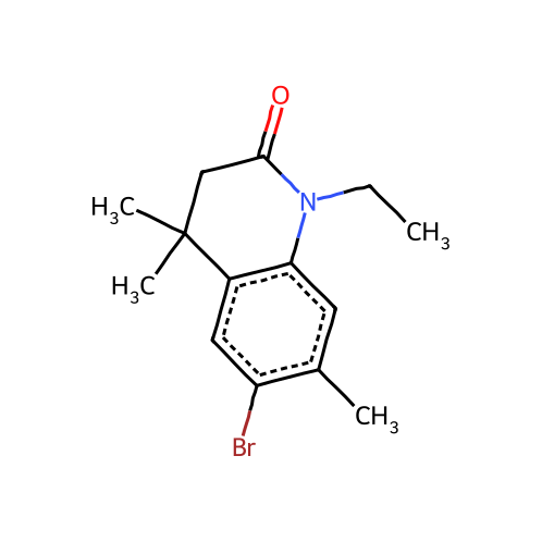 CCN1C(=O)CC(C)(C)c2cc(Br)c(C)cc21